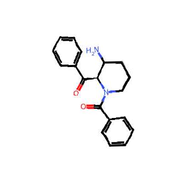 NC1CCCN(C(=O)c2ccccc2)[C@H]1C(=O)c1ccccc1